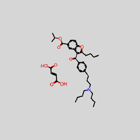 CCCCc1oc2ccc(C(=O)OC(C)C)cc2c1C(=O)c1ccc(CCCN(CCCC)CCCC)cc1.O=C(O)C=CC(=O)O